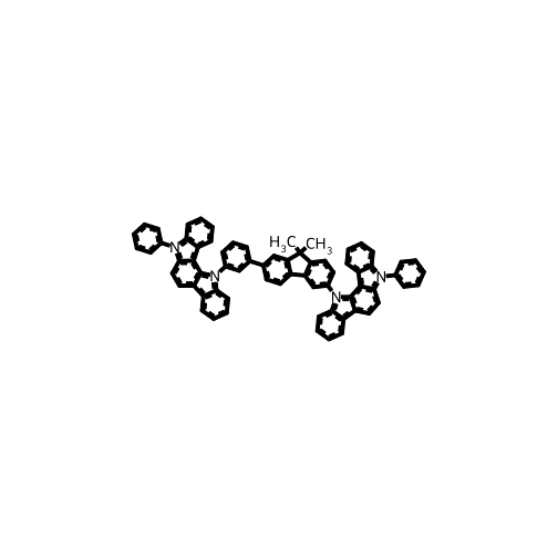 CC1(C)c2ccc(-n3c4ccccc4c4ccc5c(c6ccccc6n5-c5ccccc5)c43)cc2-c2ccc(-c3cccc(-n4c5ccccc5c5ccc6c(c7ccccc7n6-c6ccccc6)c54)c3)cc21